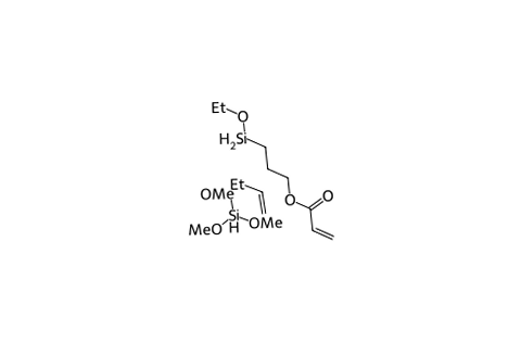 C=CC(=O)OCCC[SiH2]OCC.C=CCC.CO[SiH](OC)OC